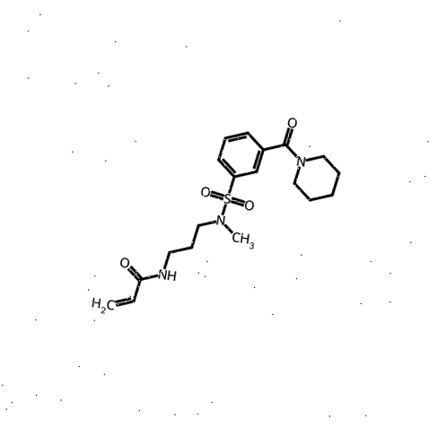 C=CC(=O)NCCCN(C)S(=O)(=O)c1cccc(C(=O)N2CCCCC2)c1